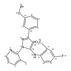 Cc1cccnc1-n1nc(-c2cccc(OC(C)C)c2)cc1Nc1ccc(F)cc1C(=O)O